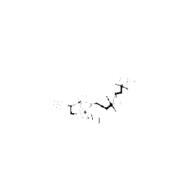 CC(C)(C)CC(C(=O)OCCC(C)(C)OCCC(C)(C)O)C(C)(C)C